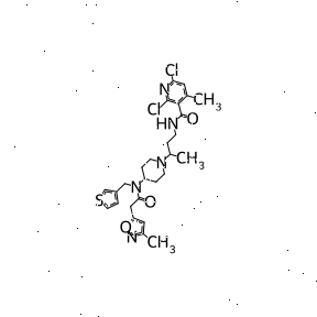 Cc1cc(CC(=O)N(Cc2ccsc2)C2CCN(C(C)CCNC(=O)c3c(C)cc(Cl)nc3Cl)CC2)on1